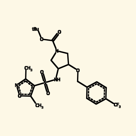 Cc1noc(C)c1S(=O)(=O)NC1CN(C(=O)OC(C)(C)C)CC1OCc1ccc(C(F)(F)F)cc1